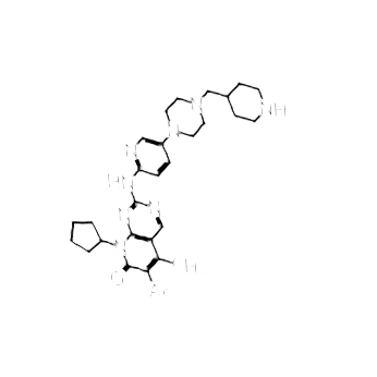 CC(=O)c1c(C)c2cnc(Nc3ccc(N4CCN(CC5CCNCC5)CC4)cn3)nc2n(C2CCCC2)c1=O